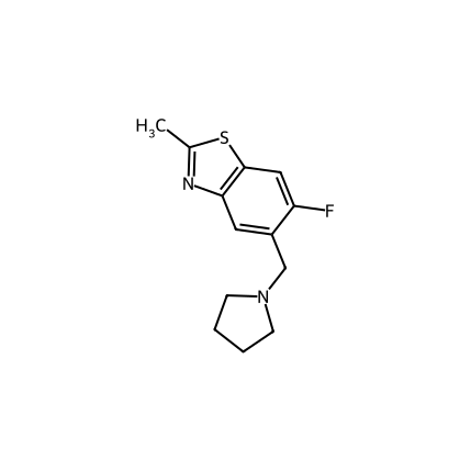 Cc1nc2cc(CN3CCCC3)c(F)cc2s1